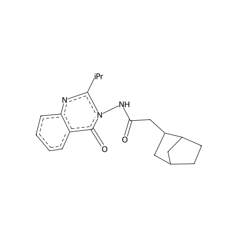 CC(C)c1nc2ccccc2c(=O)n1NC(=O)CC1CC2CCC1C2